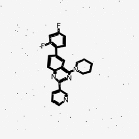 Fc1ccc(-c2ccc3nc(-c4cccnc4)nc(N4CCCCC4)c3c2)c(F)c1